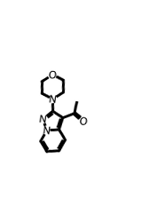 CC(=O)c1c(N2CCOCC2)nn2ccccc12